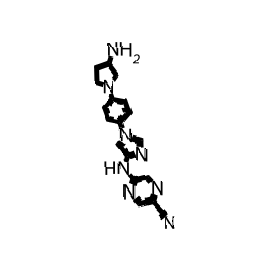 N#Cc1cnc(Nc2cn(-c3ccc(N4CCC(N)C4)cc3)cn2)cn1